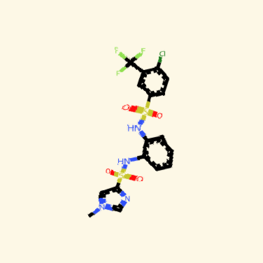 Cn1cnc(S(=O)(=O)Nc2ccccc2NS(=O)(=O)c2ccc(Cl)c(C(F)(F)F)c2)c1